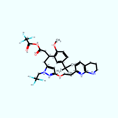 COc1ccc(C(C)(C)C)cc1C(CC(=O)OC(=O)C(F)(F)F)Cc1cc(OCCc2ccc3c(n2)NCCC3)nn1CC(F)(F)F